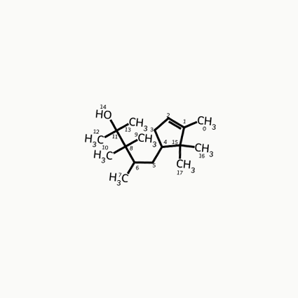 CC1=CCC(CC(C)C(C)(C)C(C)(C)O)C1(C)C